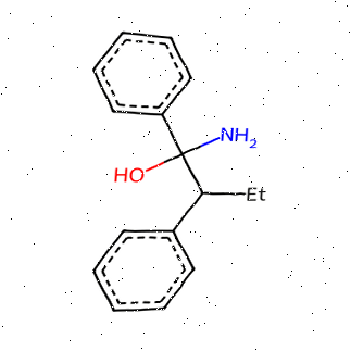 CCC(c1ccccc1)C(N)(O)c1ccccc1